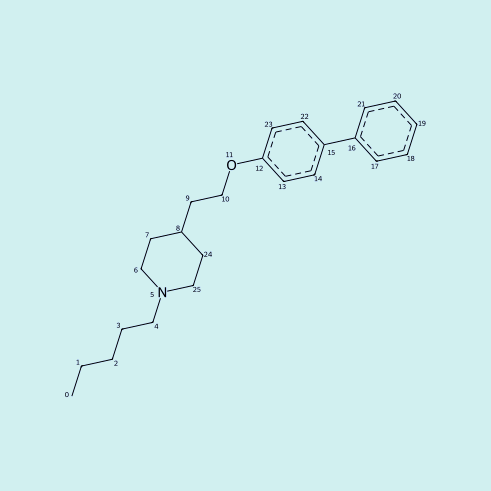 CCCCCN1CCC(CCOc2ccc(-c3ccccc3)cc2)CC1